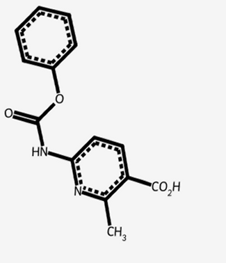 Cc1nc(NC(=O)Oc2ccccc2)ccc1C(=O)O